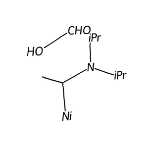 CC(C)N(C(C)C)[CH](C)[Ni].O=CO